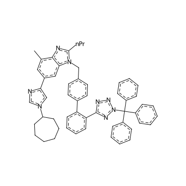 CCCc1nc2c(C)cc(-c3cn(C4CCCCCC4)cn3)cc2n1Cc1ccc(-c2ccccc2-c2nnn(C(c3ccccc3)(c3ccccc3)c3ccccc3)n2)cc1